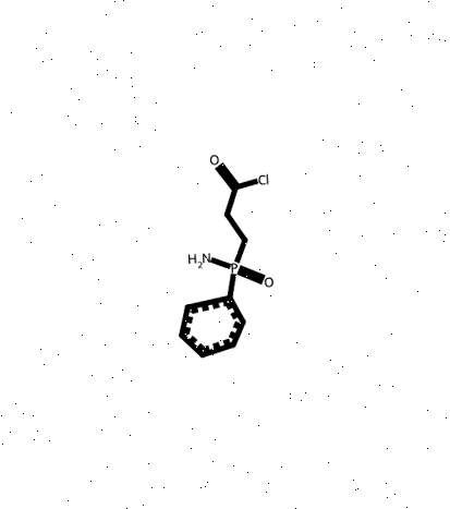 NP(=O)(CCC(=O)Cl)c1ccccc1